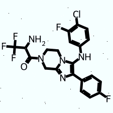 NC(C(=O)N1CCn2c(nc(-c3ccc(F)cc3)c2Nc2ccc(Cl)c(F)c2)C1)C(F)(F)F